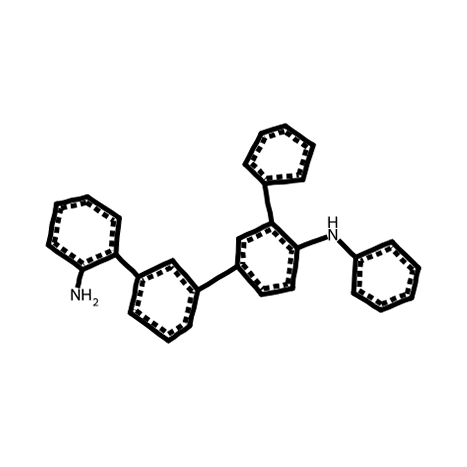 Nc1ccccc1-c1cccc(-c2ccc(Nc3ccccc3)c(-c3ccccc3)c2)c1